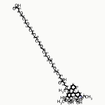 CC/N=c1\ccc2c(-c3ccccc3C(=O)N(C)CCCC(=O)NCCOCCOCCOCCOCCOCCOCCOCCOCCOCCOCCOCCOCCC(=O)O)c3ccc(NCC)c(S(=O)(=O)O)c3oc-2c1S(=O)(=O)O